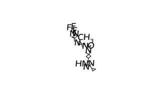 Cc1nn(CC(F)(F)F)cc1CN1CC2(C1)CN(C(=O)N1CC3(CC(c4nc(C5CC5)n[nH]4)C3)C1)C2